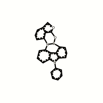 c1ccc(-n2c3cccc4c3c3c(cccc32)N2B4Oc3occ4cccc2c34)cc1